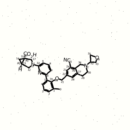 Cc1cccc(-c2cccc(N3C[C@@H]4C[C@]4(C(=O)O)C3)n2)c1OCc1cc(C#N)c2c(c1)CCN(C1COC1)C2